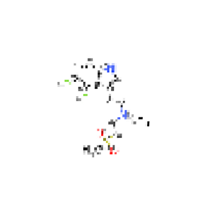 CN(CCc1c[nH]c2ccc(F)c(F)c12)CCS(C)(=O)=O